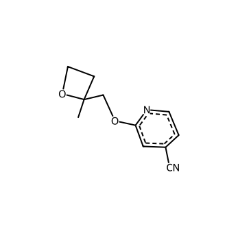 CC1(COc2cc(C#N)ccn2)CCO1